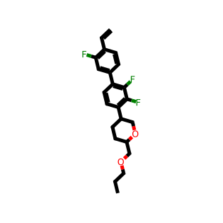 C=Cc1ccc(-c2ccc(C3CCC(COCCC)OC3)c(F)c2F)cc1F